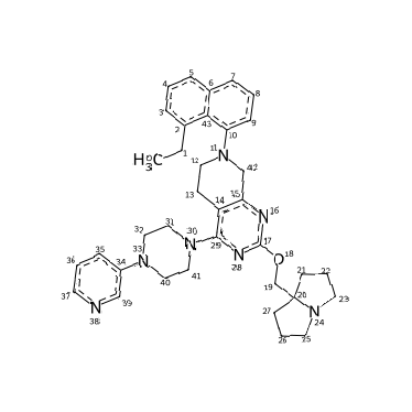 CCc1cccc2cccc(N3CCc4c(nc(OCC56CCCN5CCC6)nc4N4CCN(c5cccnc5)CC4)C3)c12